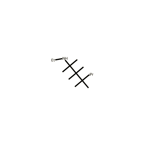 CCNC(C)(C)C(C)(C)C(C)(C)C(C)C